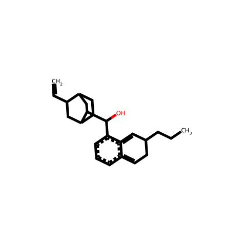 C=CC1CC2CCC1CC2C(O)c1cccc2c1=CC(CCC)CC=2